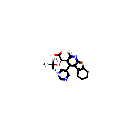 Cc1nc2sc3c(c2c(-c2cncnc2)c1[C@@H](OC(C)(C)C)C(=O)O)CCCC3